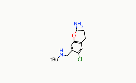 CC(C)(C)NCc1cc2c(cc1Cl)CCC(N)O2